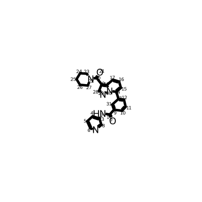 O=C(Nc1cccnc1)c1cccc(-c2cccc3c(C(=O)N4CCCCC4)cnn23)c1